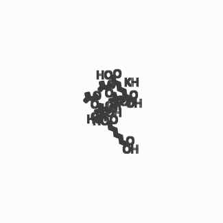 C=C(C)C(=O)OCC(CO)(CO)CO.C=C(C)C(=O)OCC(CO)(CO)CO.O=C(O)CCCCCC(=O)O.O=C(O)CCCCCC(=O)O.[KH]